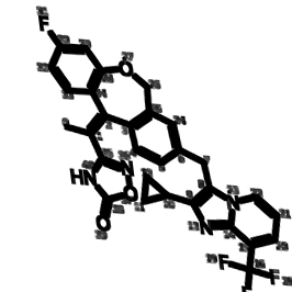 C/C(=C1/c2ccc(Cc3c(C4CC4)nc4c(C(F)(F)F)cccn34)cc2COc2cc(F)ccc21)c1noc(=O)[nH]1